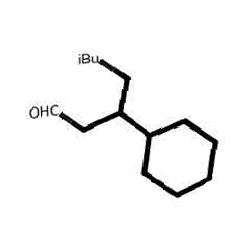 CCC(C)CC(CC=O)C1CCCCC1